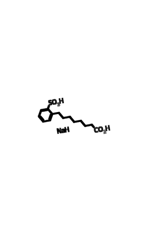 O=C(O)CCCCCCCc1ccccc1S(=O)(=O)O.[NaH]